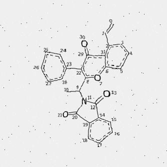 C=Cc1cccc2oc(C(C)N3C(=O)c4ccccc4C3=O)c(-c3ccccc3)c(=O)c12